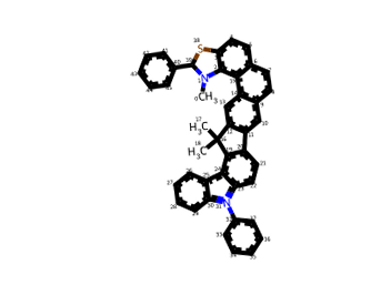 CN1c2c(ccc3ccc4cc5c(cc4c23)C(C)(C)c2c-5ccc3c2c2ccccc2n3-c2ccccc2)SC1c1ccccc1